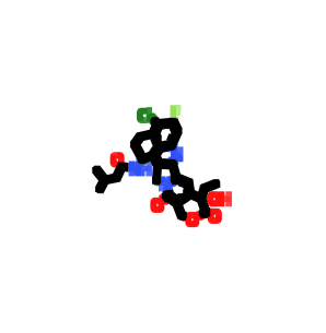 CC[C@@]1(O)C(=O)OCc2c1cc1n(c2=O)Cc2c-1nc1cc(F)c(Cl)c3c1c2C(NC(=O)CC(C)C)CC3